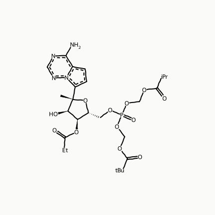 CCC(=O)O[C@H]1[C@@H](O)[C@](C)(c2ccc3c(N)ncnn23)O[C@@H]1COP(=O)(OCOC(=O)C(C)C)OCOC(=O)C(C)(C)C